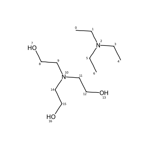 CCN(CC)CC.OCCN(CCO)CCO